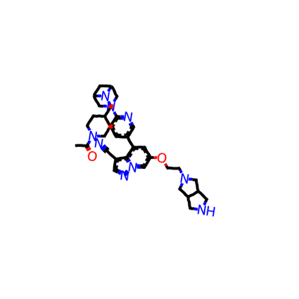 CC(=O)N1CCC(CN2C3CC2CN(c2ccc(-c4cc(OCCN5CC6CNCC6C5)cn5ncc(C#N)c45)cn2)C3)CC1